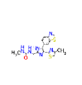 CNC(=O)NCc1nc(-c2nc(C)cs2)c(-c2ccc3ncsc3c2)[nH]1